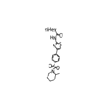 CCCCCCC(=O)Nc1nc(-c2ccc(S(=O)(=O)N3CCCCC3C)cc2)cs1